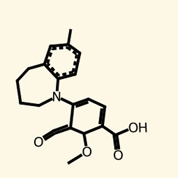 COC1C(=C=O)C(N2CCCCc3cc(C)ccc32)=CC=C1C(=O)O